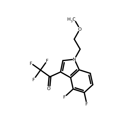 COCCn1cc(C(=O)C(F)(F)F)c2c(F)c(F)ccc21